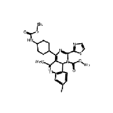 COC(=O)C1=C(C2CCC(NC(=O)OC(C)(C)C)CC2)N=C(c2nccs2)N(C(=O)OC(C)(C)C)C1c1ccc(F)cc1Cl